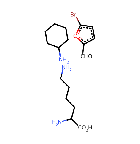 NC1CCCCC1.NCCCCC(N)C(=O)O.O=Cc1ccc(Br)o1